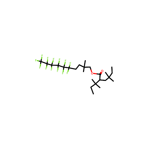 CCC(C)(C)CC(C(=O)OCC(C)(C)CCC(F)(F)C(F)(F)C(F)(F)C(F)(F)C(F)(F)C(F)(F)F)C(C)(C)CC